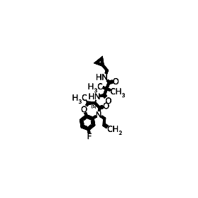 C=CCN1C(=O)[C@@H](NC(=O)C(C)(C)C(=O)NCC2CC2)[C@@H](C)Oc2ccc(F)cc21